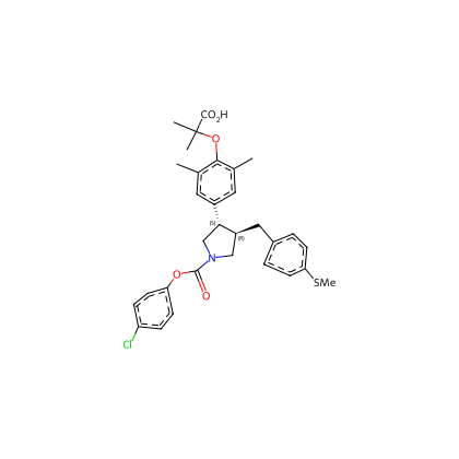 CSc1ccc(C[C@H]2CN(C(=O)Oc3ccc(Cl)cc3)C[C@@H]2c2cc(C)c(OC(C)(C)C(=O)O)c(C)c2)cc1